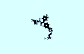 O=C(O)CCn1nnc(-c2ccc([C@@H](C(=O)Nc3ncc(Cl)s3)C3CCC(F)(F)C3)cc2)n1